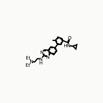 CCN(CC)CCNc1ncc2cc(-c3cc(C(=O)NC4CC4)ccc3C)ccc2n1